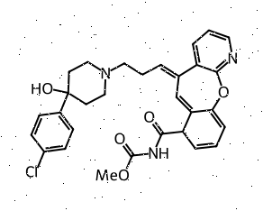 COC(=O)NC(=O)C1C=CC=C2Oc3ncccc3C(=CCCN3CCC(O)(c4ccc(Cl)cc4)CC3)C=C21